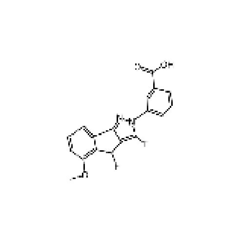 COc1cccc2c1C(F)c1c-2nn(-c2cccc(C(=O)O)c2)c1F